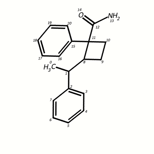 CC(c1ccccc1)C1CCC1(C(N)=O)c1ccccc1